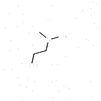 BN(C)CCCCC